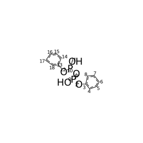 OP(Oc1ccccc1)OP(O)Oc1ccccc1